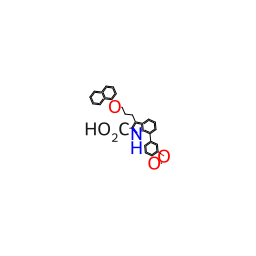 O=C(O)c1[nH]c2c(-c3ccc4c(c3)OCO4)cccc2c1CCCOc1cccc2ccccc12